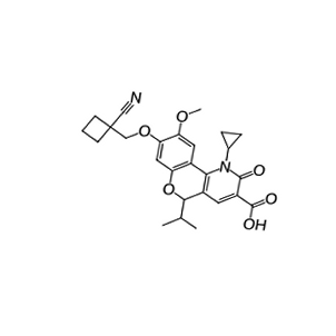 COc1cc2c(cc1OCC1(C#N)CCC1)OC(C(C)C)c1cc(C(=O)O)c(=O)n(C3CC3)c1-2